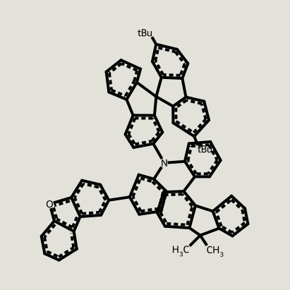 CC(C)(C)c1ccc2c(c1)C1(c3ccccc3-c3ccc(N(c4cccc(-c5ccc6oc7ccccc7c6c5)c4)c4ccccc4-c4cccc5c4-c4ccccc4C5(C)C)cc31)c1cc(C(C)(C)C)ccc1-2